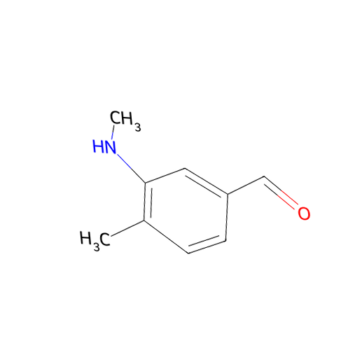 CNc1cc(C=O)ccc1C